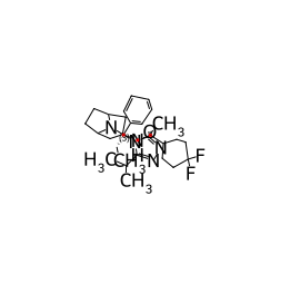 CC[C@@](NC(=O)C1CCC(F)(F)CC1)(c1ccccc1)N1C2CCC1CC(n1c(C)nnc1C(C)C)C2